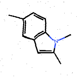 [CH2]c1ccc2c(c1)cc(C)n2C